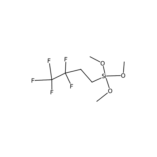 CO[Si](CCC(F)(F)C(F)(F)F)(OC)OC